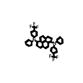 FC(F)(F)c1ccc(N(c2ccccc2)c2ccc3ccc4c(N(c5ccc(C(F)(F)F)cc5)C5C=CC=CC5)ccc5ccc2c3c54)cc1